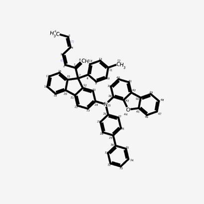 C=C(/C=C\C=C/C)C1(c2ccc(C)cc2)c2ccccc2-c2ccc(N(c3ccc(-c4ccccc4)cc3)c3cccc4c3oc3ccccc34)cc21